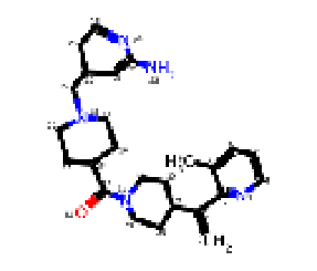 C=C(c1ncccc1C)C1CCN(C(=O)C2CCN(CC3C=C(N)N=CC3)CC2)CC1